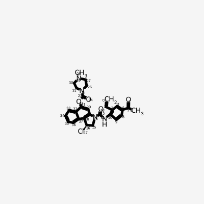 C=Cc1cc(C(C)=O)ccc1NC(=O)N1C[C@@H](Cl)c2c1cc(OC(=O)N1CCN(C)CC1)c1ccccc21